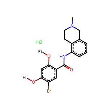 CCOc1cc(OCC)c(C(=O)Nc2cccc3c2CCN(C)C3)cc1Br.Cl